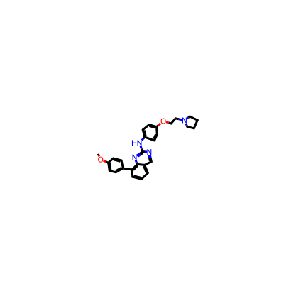 COc1ccc(-c2cccc3cnc(Nc4ccc(OCCN5CCCC5)cc4)nc23)cc1